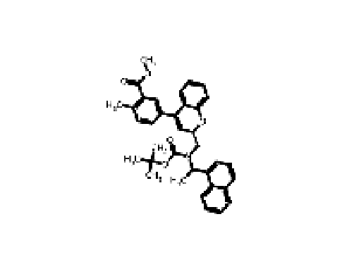 COC(=O)c1cc(C2=C[C@H](CN(C(=O)OC(C)(C)C)C(C)c3cccc4ccccc34)Oc3ccccc32)ccc1C